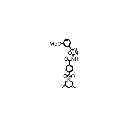 COc1cccc(-c2nnc(NC(=O)c3ccc(S(=O)(=O)N4C[C@H](C)C[C@H](C)C4)cc3)o2)c1